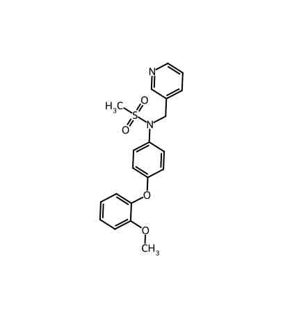 COc1ccccc1Oc1ccc(N(Cc2cccnc2)S(C)(=O)=O)cc1